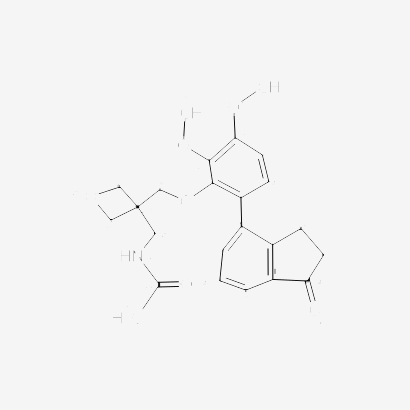 COc1ccc(-c2cccc3c2CCC3=O)c(OCC2(CNC(C)=O)COC2)c1OC